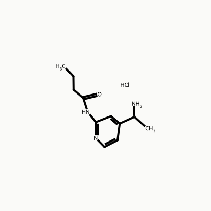 CCCC(=O)Nc1cc(C(C)N)ccn1.Cl